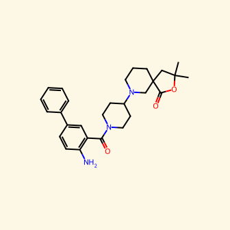 CC1(C)CC2(CCCN(C3CCN(C(=O)c4cc(-c5ccccc5)ccc4N)CC3)C2)C(=O)O1